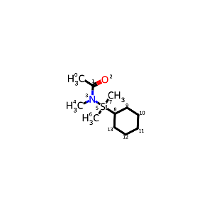 CC(=O)N(C)[Si](C)(C)C1CCCCC1